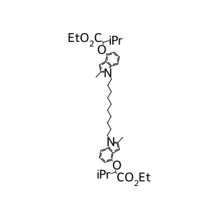 CCOC(=O)C(Oc1cccc2c1cc(C)n2CCCCCCCCCCn1c(C)cc2c(OC(C(=O)OCC)C(C)C)cccc21)C(C)C